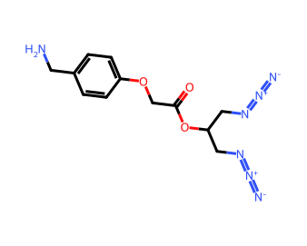 [N-]=[N+]=NCC(CN=[N+]=[N-])OC(=O)COc1ccc(CN)cc1